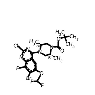 C[C@@H]1CN(c2nc(Cl)nc3c(F)c(Br)c(OC(F)F)cc23)[C@@H](C)CN1C(=O)OC(C)(C)C